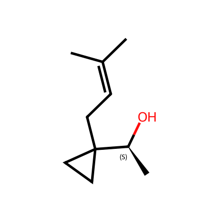 CC(C)=CCC1([C@H](C)O)CC1